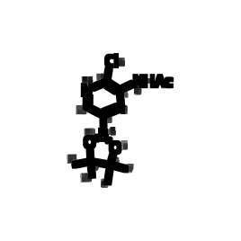 CC(=O)Nc1cc(B2OC(C)(C)C(C)(C)O2)cnc1Cl